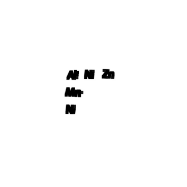 [Al].[Mn].[Ni].[Ni].[Zn]